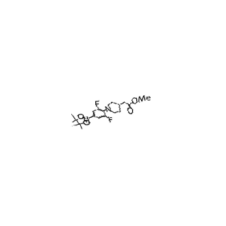 COC(=O)CC1CCN(c2c(F)cc(B3OC(C)(C)C(C)(C)O3)cc2F)CC1